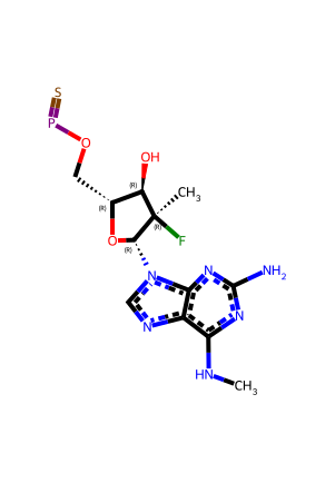 CNc1nc(N)nc2c1ncn2[C@@H]1O[C@H](COP=S)[C@@H](O)[C@@]1(C)F